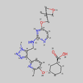 Cc1nc(-c2nnn(C)c2CNc2nccc(OCC3(C)COC3)n2)ccc1O[C@H]1CCC[C@H](C(=O)O)C1